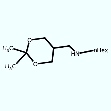 CCCCCCNCC1COC(C)(C)OC1